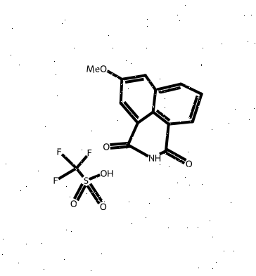 COc1cc2c3c(cccc3c1)C(=O)NC2=O.O=S(=O)(O)C(F)(F)F